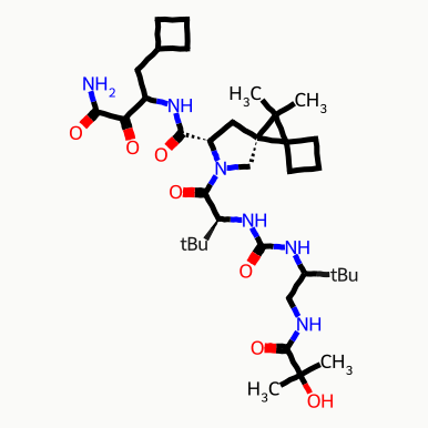 CC(C)(O)C(=O)NCC(NC(=O)N[C@H](C(=O)N1C[C@]2(C[C@H]1C(=O)NC(CC1CCC1)C(=O)C(N)=O)C(C)(C)C21CCC1)C(C)(C)C)C(C)(C)C